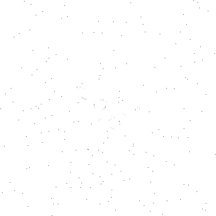 COCC#Cc1cncc(C(=O)c2cccc(N3CCCNCC3)n2)c1